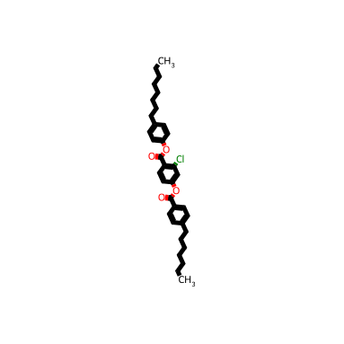 CCCCCCCCc1ccc(OC(=O)c2ccc(OC(=O)c3ccc(CCCCCCC)cc3)cc2Cl)cc1